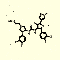 COCCN1C[C@@H](NC(=O)Nc2c(C)c(-c3cnn(C)c3)nn2-c2ccc(F)c(Cl)c2)[C@H](c2ccc(F)c(F)c2)C1